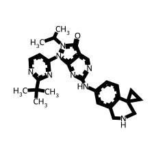 CC(C)n1c(=O)c2cnc(Nc3ccc4c(c3)CNCC43CC3)nc2n1-c1ccnc(C(C)(C)C)n1